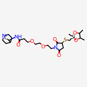 CC1O[Si](C)(CSC2CC(=O)N(CCOCCOCCC(=O)NC3CN4CCC3CC4)C2=O)OC1C